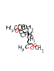 CCC(C)(OC)C(C)CCC(C)CC=CC(C)=CC(=O)OC